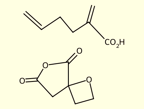 C=CCCC(=C)C(=O)O.O=C1CC2(CCO2)C(=O)O1